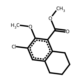 COC(=O)c1c2c(cc(Cl)c1OC)CCCC2